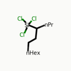 CCCCCCCCC(CCC)[Si](Cl)(Cl)Cl